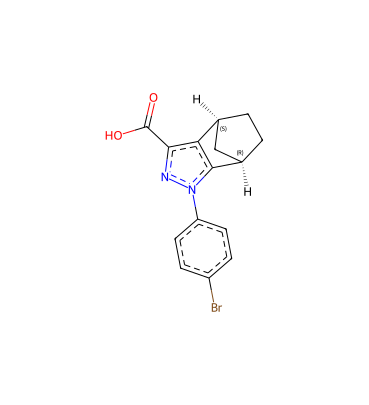 O=C(O)c1nn(-c2ccc(Br)cc2)c2c1[C@H]1CC[C@@H]2C1